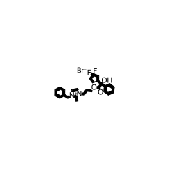 Cc1n(CCCOC(=O)[C@](O)(c2ccccc2)[C@H]2CCC(F)(F)C2)cc[n+]1Cc1ccccc1.[Br-]